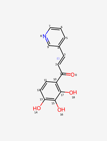 O=C(/C=C/c1cccnc1)c1ccc(O)c(O)c1O